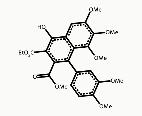 CCOC(=O)c1c(C(=O)OC)c(-c2ccc(OC)c(OC)c2)c2c(OC)c(OC)c(OC)cc2c1O